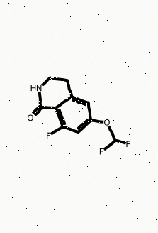 O=C1NCCc2cc(OC(F)F)cc(F)c21